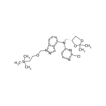 CC1(C)OC[C@@H](CN(c2ccnc(Cl)n2)c2cccc3c2cnn3COCC[Si](C)(C)C)O1